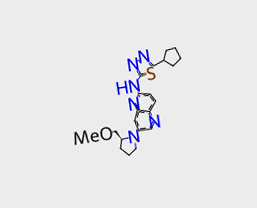 COC[C@@H]1CCCN1c1cnc2ccc(Nc3nnc(C4CCCC4)s3)nc2c1